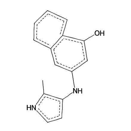 Cc1[nH]ccc1Nc1cc(O)c2ccccc2c1